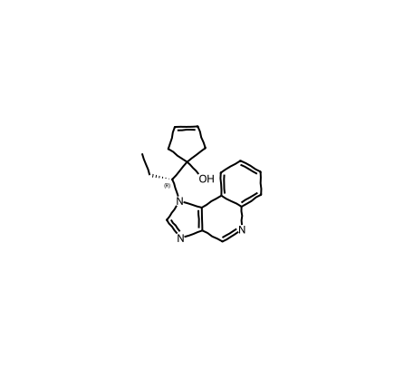 CC[C@@H](n1cnc2cnc3ccccc3c21)C1(O)CC=CC1